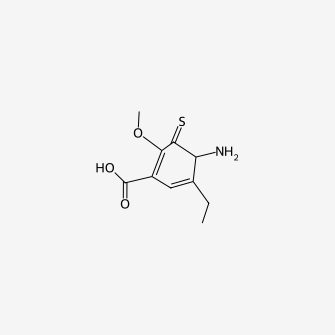 CCC1=CC(C(=O)O)=C(OC)C(=S)C1N